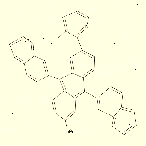 CCCc1ccc2c(-c3ccc4ccccc4c3)c3cc(-c4ncccc4C)ccc3c(-c3ccc4ccccc4c3)c2c1